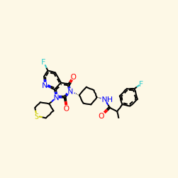 CC(C(=O)N[C@H]1CC[C@@H](n2c(=O)c3cc(F)cnc3n(C3CCSCC3)c2=O)CC1)c1ccc(F)cc1